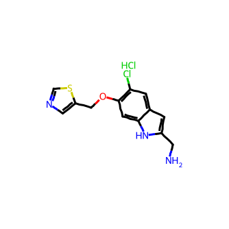 Cl.NCc1cc2cc(Cl)c(OCc3cncs3)cc2[nH]1